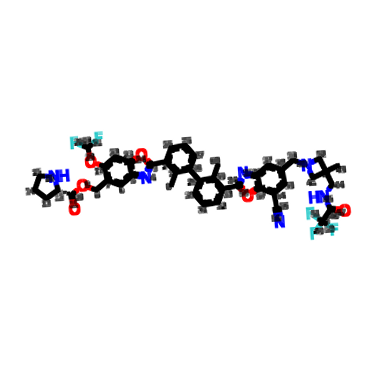 Cc1c(-c2nc3cc(COC(=O)[C@@H]4CCCN4)c(OC(F)F)cc3o2)cccc1-c1cccc(-c2nc3cc(CN4CC(C)(CNC(=O)C(F)(F)F)C4)cc(C#N)c3o2)c1C